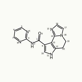 O=C(Nc1ncccn1)c1c[nH]c2c1-c1nccn1CC2